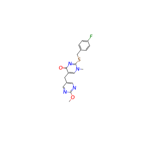 COc1ncc(Cc2cn(C)c(SCc3ccc(F)cc3)nc2=O)cn1